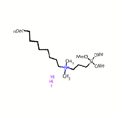 CCCCCCCCCCCCCCCCCC[N+](C)(C)CCC[Si](OC)(OC)OC.I.I.[I-]